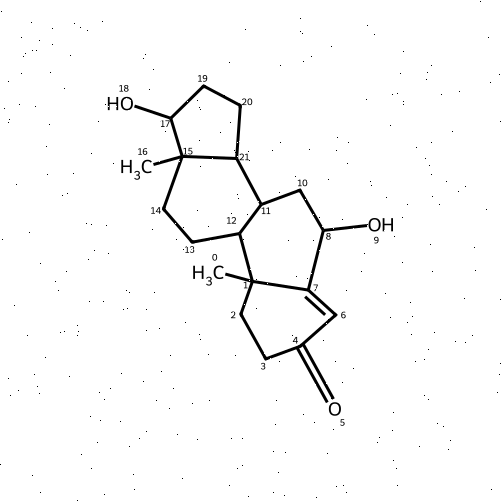 CC12CCC(=O)C=C1C(O)CC1C2CCC2(C)C(O)CCC12